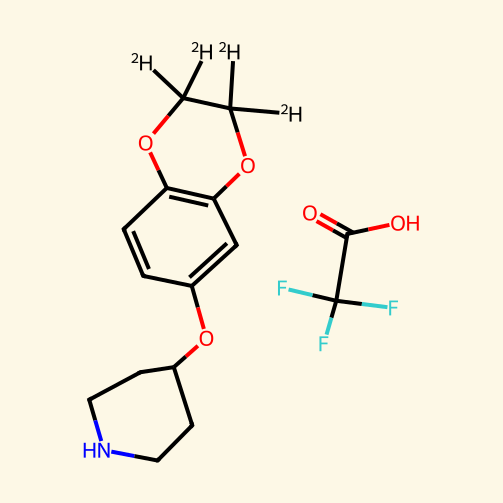 O=C(O)C(F)(F)F.[2H]C1([2H])Oc2ccc(OC3CCNCC3)cc2OC1([2H])[2H]